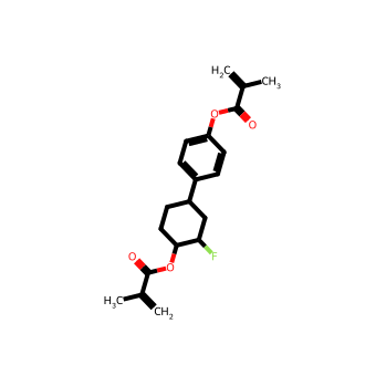 C=C(C)C(=O)Oc1ccc(C2CCC(OC(=O)C(=C)C)C(F)C2)cc1